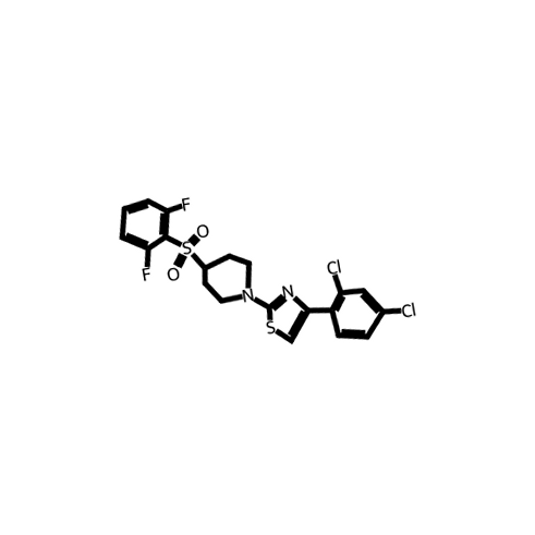 O=S(=O)(c1c(F)cccc1F)C1CCN(c2nc(-c3ccc(Cl)cc3Cl)cs2)CC1